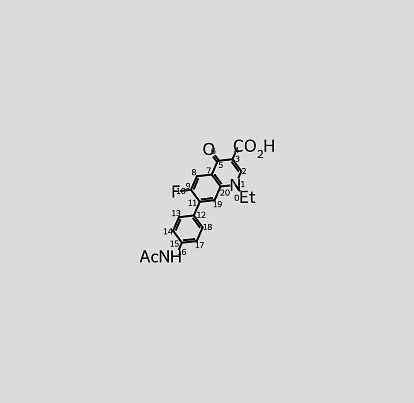 CCn1cc(C(=O)O)c(=O)c2cc(F)c(-c3ccc(NC(C)=O)cc3)cc21